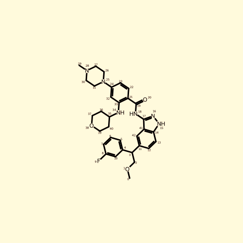 COCC(c1cccc(F)c1)c1ccc2[nH]nc(NC(=O)c3ccc(N4CCN(C)CC4)cc3NC3CCOCC3)c2c1